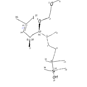 COCO[C@@H](C(C)CCC(C)(C)[Si](C)(C)O)[C@@H](C)/C=C(/C)I